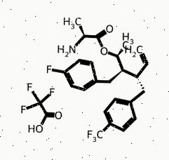 C=C[C@H](Cc1ccc(C(F)(F)F)cc1)[C@@H](Cc1ccc(F)cc1)[C@H](C)OC(=O)[C@H](C)N.O=C(O)C(F)(F)F